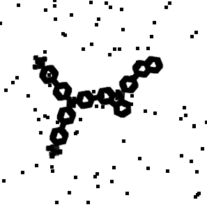 C[Si](C)(C)c1ccc(-c2ccc(N(c3ccc(-c4ccc([Si](C)(C)C)cc4)cc3)c3ccc(-c4ccc5c(c4)c4ccccc4n5-c4ccc(-c5ccc6ccccc6c5)cc4)cc3)cc2)cc1